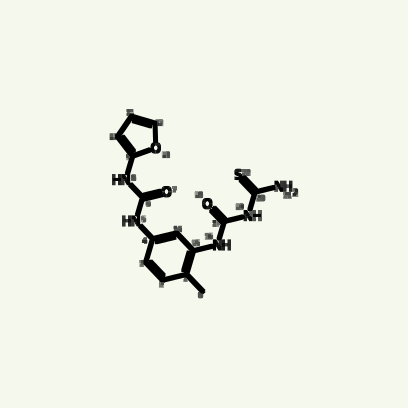 Cc1ccc(NC(=O)Nc2ccco2)cc1NC(=O)NC(N)=S